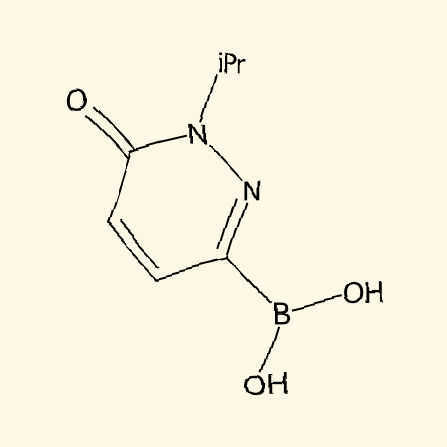 CC(C)n1nc(B(O)O)ccc1=O